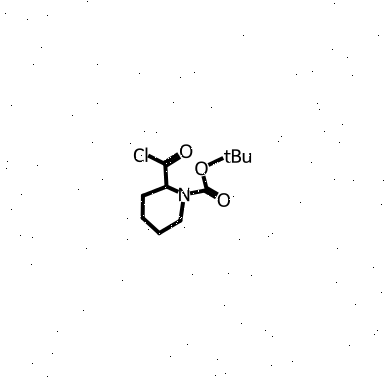 CC(C)(C)OC(=O)N1CCCCC1C(=O)Cl